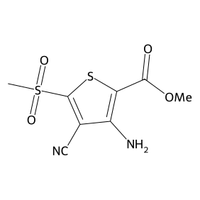 COC(=O)c1sc(S(C)(=O)=O)c(C#N)c1N